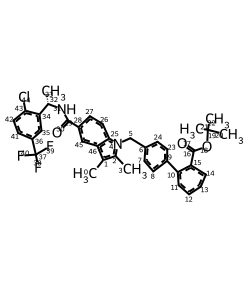 Cc1c(C)n(Cc2ccc(-c3ccccc3C(=O)OC(C)(C)C)cc2)c2ccc(C(=O)N[C@@H](C)c3cc(C(F)(F)F)ccc3Cl)cc12